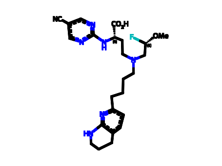 CO[C@@H](F)CN(CCCCc1ccc2c(n1)NCCC2)CC[C@H](Nc1ncc(C#N)cn1)C(=O)O